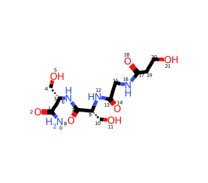 NC(=O)[C@H](CO)NC(=O)[C@@H](CO)NC(=O)CNC(=O)CCO